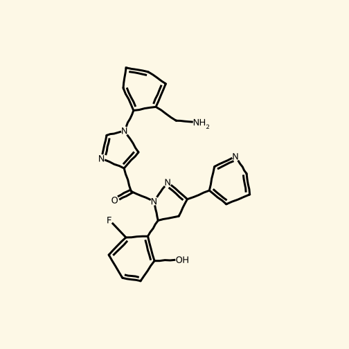 NCc1ccccc1-n1cnc(C(=O)N2N=C(c3cccnc3)CC2c2c(O)cccc2F)c1